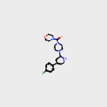 O=C(N1CCOCC1)N1CCN(C2CC(c3ccc(F)cc3)=CCN2)CC1